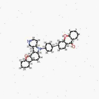 O=c1c2ccccc2oc2cc(-c3ccc(-n4c5ccncc5c5c6oc7ccccc7c6ccc54)cc3)ccc12